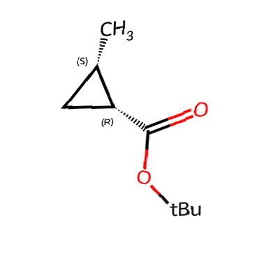 C[C@H]1C[C@H]1C(=O)OC(C)(C)C